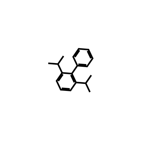 CC(C)c1cccc(C(C)C)c1-c1ccccc1